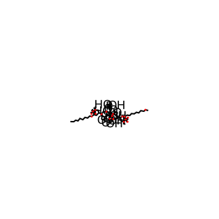 CCCCCCCCCCC(CC(CC(C)C(C)(C)C)c1ccc(C(OP(O)O)(c2ccc(C(CC(C)C(C)(C)C)CC(CCCCCCCCCC)C(C)(C)C)c3c2C(=O)O3)C(CO)(CO)COP(O)O)c2c1OC2=O)C(C)(C)C